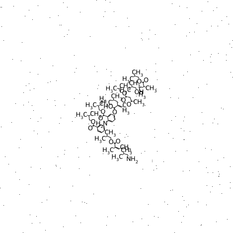 C/C=C(/C)C(=O)OCC(C)C.C/C=C(\CC(C)C)C(=O)O.CC(=O)CC(=O)OCC(C)C.CC(C)CN.CC(C)CO.CC(C)COC(=O)C(C)C.CC(C)COC(=O)c1ccccc1.CC(C)COC(=O)c1ccccc1N